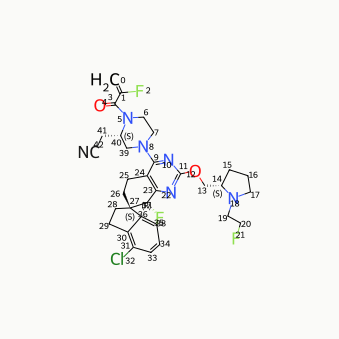 C=C(F)C(=O)N1CCN(c2nc(OC[C@@H]3CCCN3CCF)nc3c2CC[C@@]2(CCc4c(Cl)cccc42)[C@H]3F)C[C@@H]1CC#N